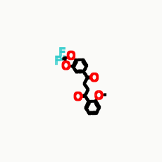 COc1ccccc1C(=O)CCC(=O)c1ccc2c(c1)OC(F)(F)O2